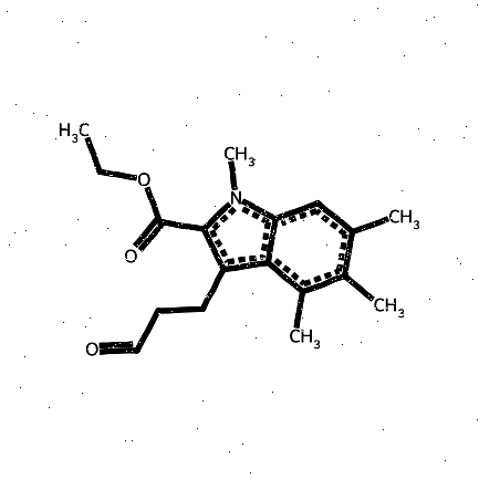 CCOC(=O)c1c(CCC=O)c2c(C)c(C)c(C)cc2n1C